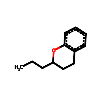 CCCC1CCc2ccccc2O1